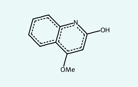 [CH2]Oc1cc(O)nc2ccccc12